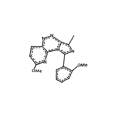 COc1ccc2nnc3c(C)nc(-c4ccccc4OC)n3c2n1